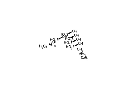 O.O=S(=O)(O)O.O=S(=O)(O)O.O=S(=O)(O)O.O=S(=O)(O)O.O=S(=O)(O)O.[AlH3].[AlH3].[CaH2].[CaH2].[O]